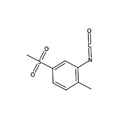 Cc1ccc(S(C)(=O)=O)cc1N=C=O